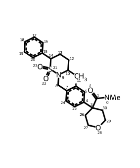 CNC(=O)C1(c2ccc(CN3C(C)CCC(c4ccccc4)S3(=O)=O)cc2)CCOCC1